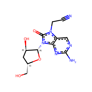 N#CCn1c(=O)n([C@@H]2O[C@H](CO)C[C@H]2O)c2nc(N)ncc21